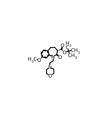 COc1ccc2c(c1)N(CCN1CCOCC1)C(=O)[C@H](C(=O)OC(C)(C)C)CC2